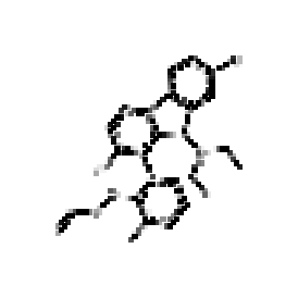 C=CCOc1c(C)cccc1-c1c(Cl)ccc2c1C([SiH](CC)CC)c1cc(Cl)ccc1-2